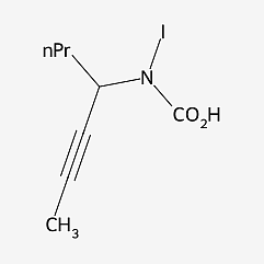 CC#CC(CCC)N(I)C(=O)O